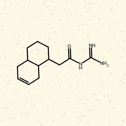 N=C(N)NC(=O)CC1CCCC2CC=CCC21